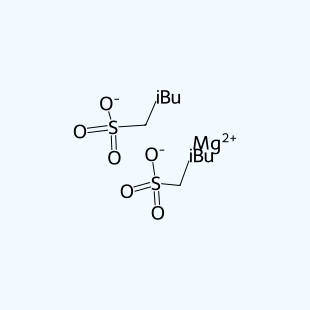 CCC(C)CS(=O)(=O)[O-].CCC(C)CS(=O)(=O)[O-].[Mg+2]